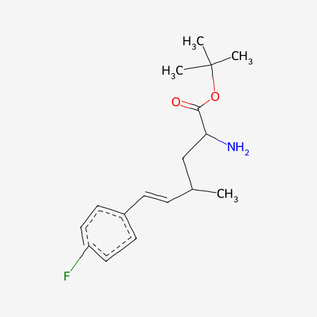 CC(C=Cc1ccc(F)cc1)CC(N)C(=O)OC(C)(C)C